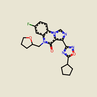 O=c1c2c(-c3noc(C4CCCC4)n3)ncn2c2ccc(F)cc2n1CC1CCCO1